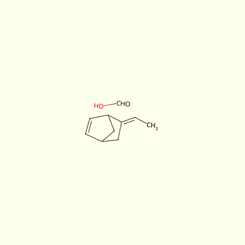 CC=C1CC2C=CC1C2.O=CO